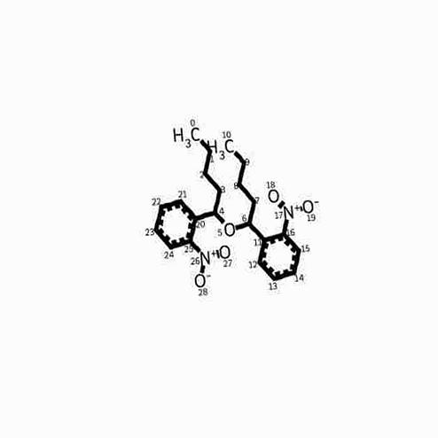 CCCCC(OC(CCCC)c1ccccc1[N+](=O)[O-])c1ccccc1[N+](=O)[O-]